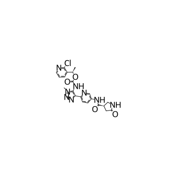 C[C@@H](OC(=O)Nc1c(-c2ccc(NC(=O)[C@H]3CNC(=O)C3)cn2)nnn1C)c1cccnc1Cl